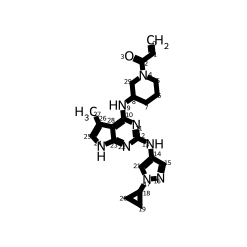 C=CC(=O)N1CCCC(Nc2nc(Nc3cnn(C4CC4)c3)nc3[nH]cc(C)c23)C1